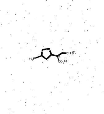 CCOC(=O)C[C@@H](C(=O)OCC)C1CCC(P)C1